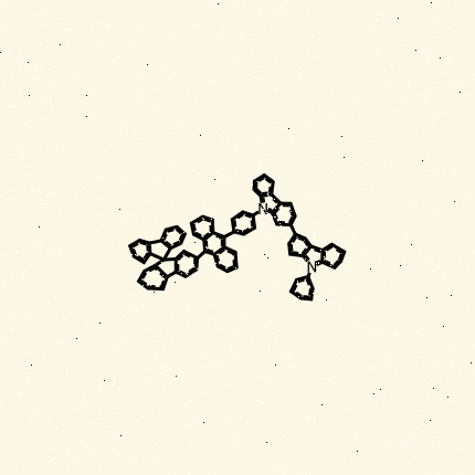 c1ccc(-n2c3ccccc3c3cc(-c4ccc5c6ccccc6n(-c6ccc(-c7c8ccccc8c(-c8ccc9c(c8)C8(c%10ccccc%10-c%10ccccc%108)c8ccccc8-9)c8ccccc78)cc6)c5c4)ccc32)cc1